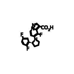 O=C(O)c1cnn2ccc(N3CCC[C@@H]3c3cc(F)ccc3F)c(F)c12